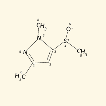 Cc1cc([S+](C)[O-])n(C)n1